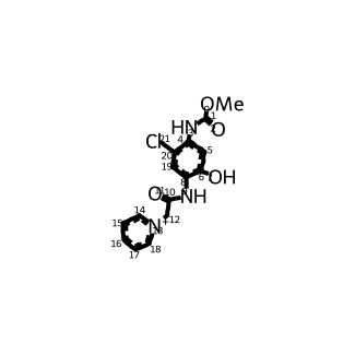 COC(=O)Nc1cc(O)c(NC(=O)C[n+]2ccccc2)cc1Cl